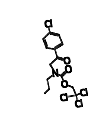 CCCN(CC(=O)c1ccc(Cl)cc1)C(=O)OCC(Cl)(Cl)Cl